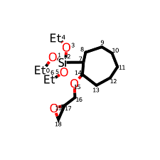 CCO[Si](OCC)(OCC)C1CCCCCCC1OCC1CO1